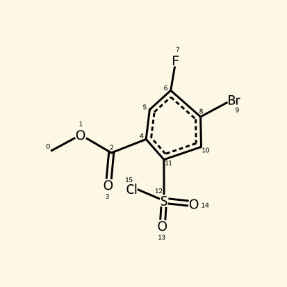 COC(=O)c1cc(F)c(Br)cc1S(=O)(=O)Cl